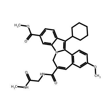 CNC(=O)CNC(=O)C1=Cc2cc(OC)ccc2-c2c(C3CCCCC3)c3ccc(C(=O)OC)cc3n2C1